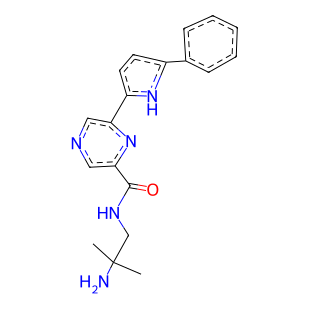 CC(C)(N)CNC(=O)c1cncc(-c2ccc(-c3ccccc3)[nH]2)n1